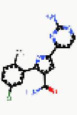 NC(=O)c1cc(-c2ccnc(N)n2)[nH]c1-c1cc(Cl)ccc1C(F)(F)F